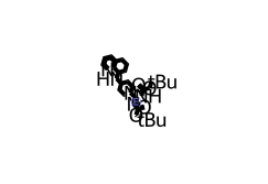 CC(C)(C)OC(=O)/N=C(\NC(=O)OC(C)(C)C)N1CCC(NC2CCCc3cccnc32)CC1